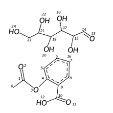 CC(=O)Oc1ccccc1C(=O)O.O=CC(O)C(O)C(O)C(O)CO